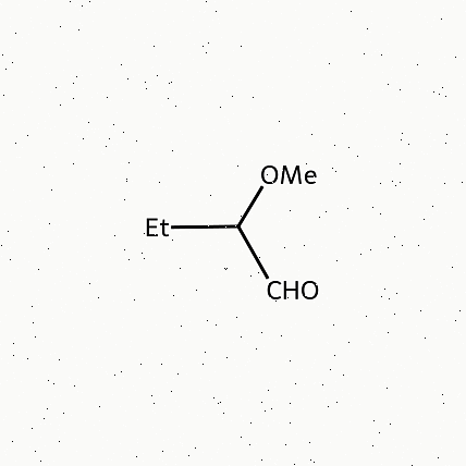 [CH2]CC(C=O)OC